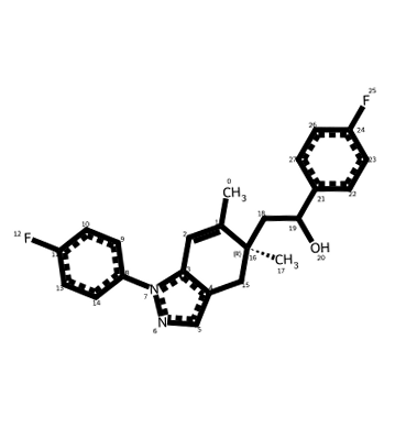 CC1=Cc2c(cnn2-c2ccc(F)cc2)C[C@]1(C)CC(O)c1ccc(F)cc1